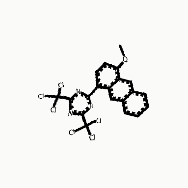 COc1ccc(-c2nc(C(Cl)(Cl)Cl)nc(C(Cl)(Cl)Cl)n2)c2cc3ccccc3cc12